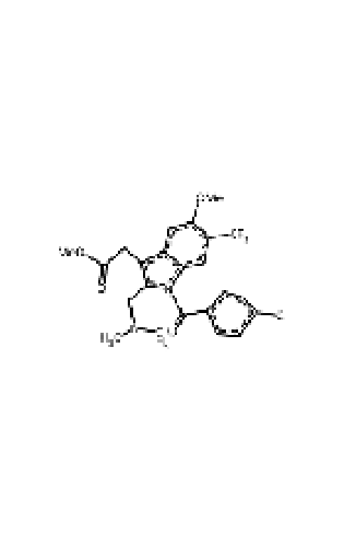 COC(=O)Cc1c(CN(C)C)n(C(=O)c2ccc(Cl)cc2)c2cc(C(F)(F)F)c(OC)cc12